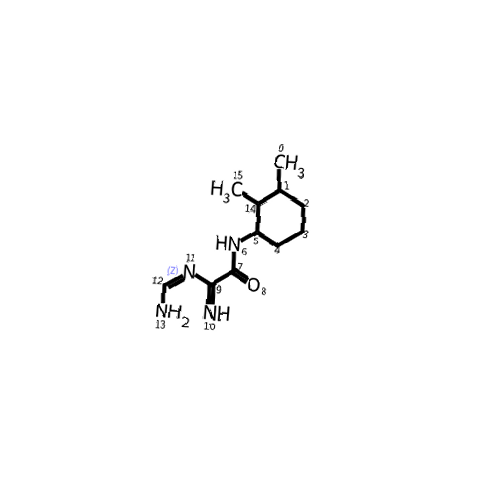 CC1CCCC(NC(=O)C(=N)/N=C\N)C1C